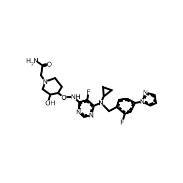 NC(=O)CN1CCC(ONc2ncnc(N(Cc3ccc(-n4cccn4)cc3F)C3CC3)c2F)C(O)C1